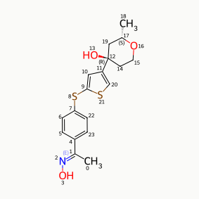 C/C(=N\O)c1ccc(Sc2cc([C@@]3(O)CCO[C@@H](C)C3)cs2)cc1